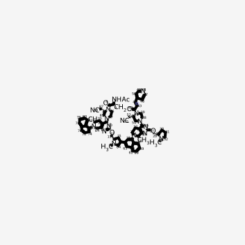 C=C(NC(C)=O)C(=O)N1CCN(c2nc(OC[C@@H]3CC(c4cc(N5CCc6c(nc(OC[C@@H]7CCCN7C)nc6N6CCN(C(=O)/C=C/c7ccncc7)[C@@H](CC#N)C6)C5)c5c(C)cccc5c4)CN3C)nc3c2CCN(c2cccc4cccc(C)c24)C3)C[C@@H]1CC#N